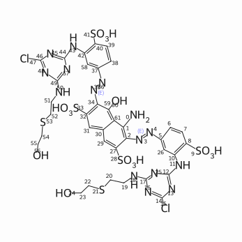 Nc1c(/N=N/c2ccc(S(=O)(=O)O)c(Nc3nc(Cl)nc(NCCSCCO)n3)c2)c(S(=O)(=O)O)cc2cc(S(=O)(=O)O)c(/N=N/c3ccc(S(=O)(=O)O)c(Nc4nc(Cl)nc(NCCSCCO)n4)c3)c(O)c12